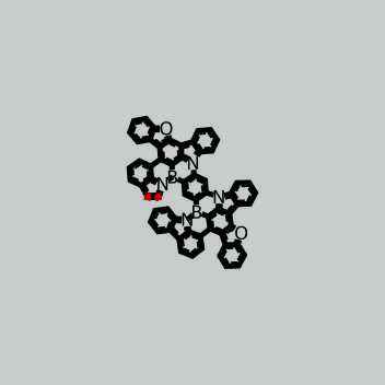 c1ccc2c(c1)oc1c2c2c3c4c1c1ccccc1n4-c1cc4c(cc1B3n1c3ccccc3c3cccc-2c31)B1c2c(c3c5ccccc5oc3c3c5ccccc5n-4c23)-c2cccc3c4ccccc4n1c23